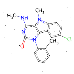 CNc1nc(=O)n(-c2ccccc2C)c2c3cc(Cl)ccc3n(C)c12